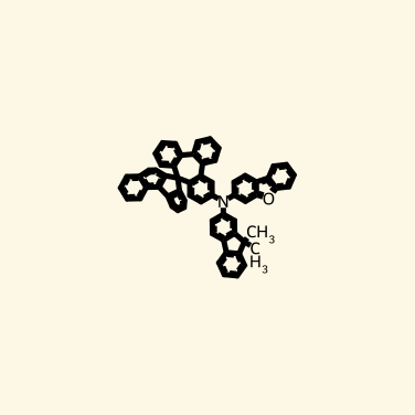 CC1(C)c2ccccc2-c2ccc(N(c3ccc4c(c3)-c3ccccc3-c3ccccc3C43c4ccccc4-c4c3ccc3ccccc43)c3ccc4c(c3)oc3ccccc34)cc21